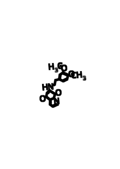 COc1ccc(CCNC2=CC(=O)c3cccnc3C2=O)cc1OC